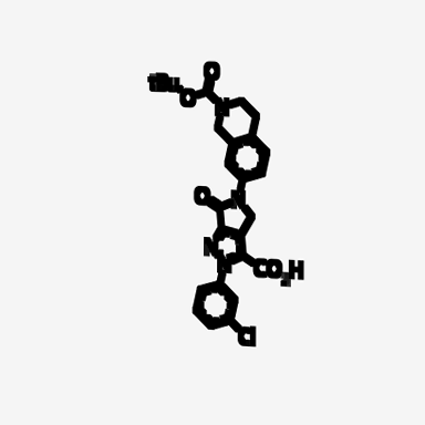 CC(C)(C)OC(=O)N1CCc2ccc(N3Cc4c(nn(-c5cccc(Cl)c5)c4C(=O)O)C3=O)cc2C1